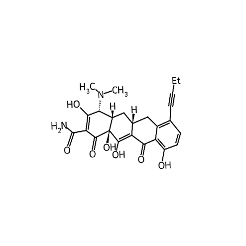 CCC#Cc1ccc(O)c2c1C[C@H]1C[C@H]3[C@@H](N(C)C)C(O)=C(C(N)=O)C(=O)[C@@]3(O)C(O)=C1C2=O